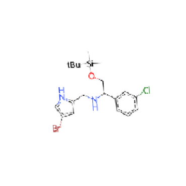 CC(C)(C)[Si](C)(C)OCC(NCc1cc(Br)c[nH]1)c1cccc(Cl)c1